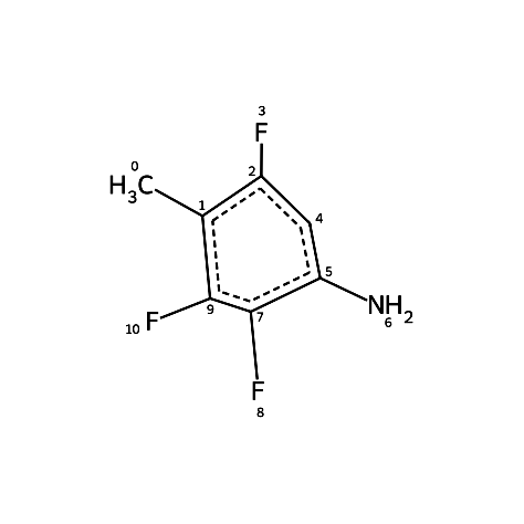 Cc1c(F)cc(N)c(F)c1F